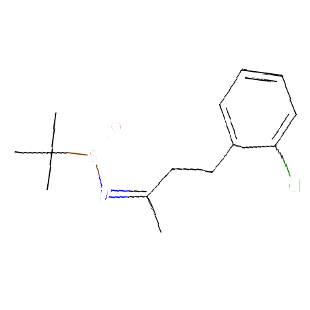 C/C(CCc1ccccc1Cl)=N/[S@@+]([O-])C(C)(C)C